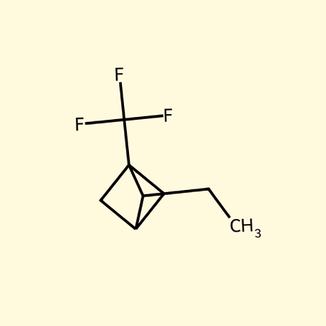 CCC1C2CC1(C(F)(F)F)C2